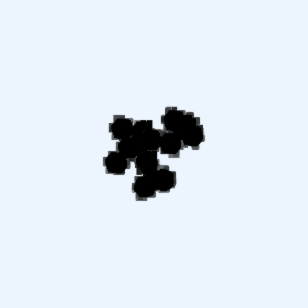 CC1(C)c2ccccc2N(c2cccc(-c3cc4c5c(c(-c6ccccc6)cnc5c3)-c3ccc(-c5ccccc5)cc3B4c3cnc(-n4c5ccccc5c5ccccc54)cn3)c2)c2ccccc21